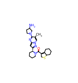 Cc1cn2nc([C@@H]3CCCCN3C(=O)C3=C4CCCCC4SC3)cc2nc1N1CCC(N)C1